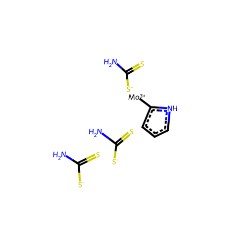 NC(=S)[S-].NC(=S)[S-].NC(=S)[S-].[Mo+3][c]1ccc[nH]1